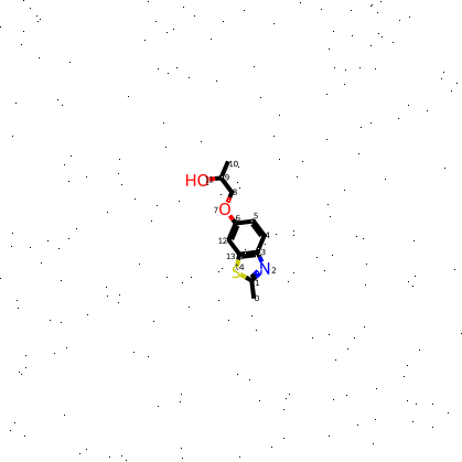 Cc1nc2ccc(OCC(C)O)cc2s1